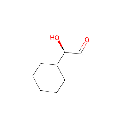 O=[C][C@H](O)C1CCCCC1